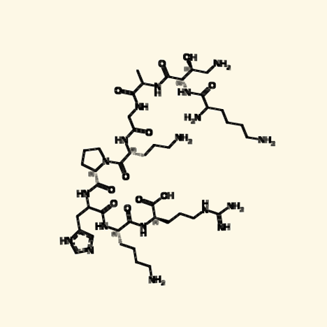 CC(NC(=O)[C@@H](NC(=O)C(N)CCCCN)[C@@H](O)CN)C(=O)NCC(=O)N[C@H](CCCN)C(=O)N1CCC[C@H]1C(=O)NC(Cc1cnc[nH]1)C(=O)N[C@@H](CCCCN)C(=O)N[C@H](CCCNC(=N)N)C(=O)O